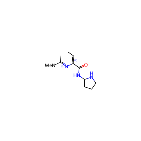 C/C=C(\N=C(/C)NC)C(=O)NC1CCCN1